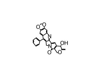 C=C1OCc2c(cc3n(c2=O)Cc2c-3nc3cc4c(cc3c2-c2ccccc2)OCO4)C1O